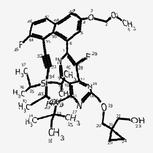 COCOc1cc(-c2ncc3c(NC(C)(C)C)nc(OCC4(CO)CC4)nc3c2F)c2c(C#C[Si](C(C)C)(C(C)C)C(C)C)c(F)ccc2c1